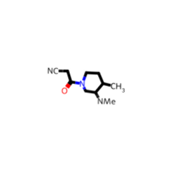 CNC1CN(C(=O)CC#N)CCC1C